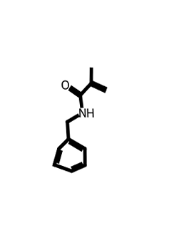 C=C(C)C(=O)NCc1ccccc1